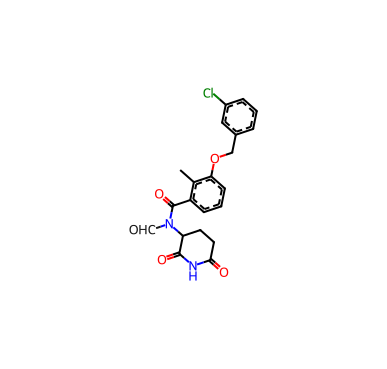 Cc1c(OCc2cccc(Cl)c2)cccc1C(=O)N(C=O)C1CCC(=O)NC1=O